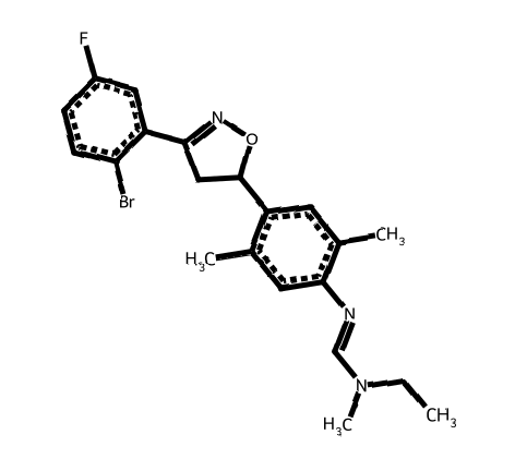 CCN(C)C=Nc1cc(C)c(C2CC(c3cc(F)ccc3Br)=NO2)cc1C